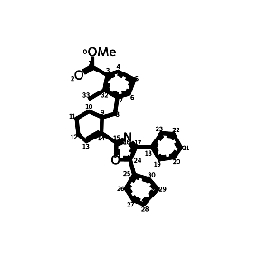 COC(=O)c1cccc(CC2CCCC=C2c2nc(-c3ccccc3)c(-c3ccccc3)o2)c1C